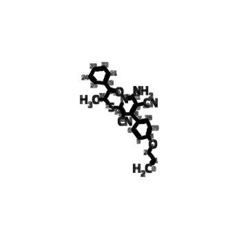 C=CCOc1ccc(-c2c(C#N)c(N)nc(SC(C)C(=O)c3ccccc3)c2C#N)cc1